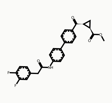 COC(=O)[C@@H]1C[C@H]1C(=O)c1ccc(-c2ccc(NC(=O)Cc3ccc(F)c(F)c3)cc2)cc1